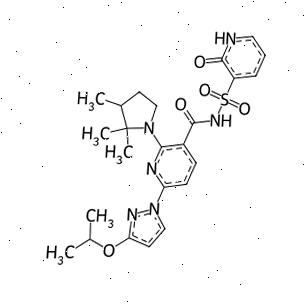 CC(C)Oc1ccn(-c2ccc(C(=O)NS(=O)(=O)c3ccc[nH]c3=O)c(N3CCC(C)C3(C)C)n2)n1